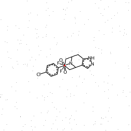 O=S(=O)(c1ccc(Cl)cc1)N1C2Cc3[nH]ncc3C1CC(F)(F)C2